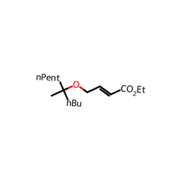 CCCCCC(C)(CCCC)OC/C=C/C(=O)OCC